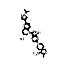 CC1OCC2(CCN(c3cnc4c(N5CCCc6nc(-c7cnn(C(C)C)c7)ccc65)n[nH]c4n3)CC2)C1N.Cl